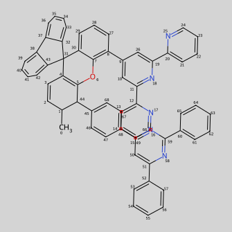 CC1C=CC2=C(Oc3c(-c4cc(-c5ccccn5)nc(-c5ccccn5)c4)cccc3C23c2ccccc2-c2ccccc23)C1c1ccc(-c2cc(-c3ccccc3)nc(-c3ccccc3)n2)cc1